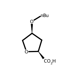 CCCCO[C@@H]1CO[C@H](C(=O)O)C1